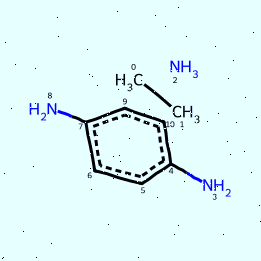 CC.N.Nc1ccc(N)cc1